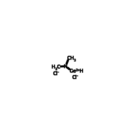 C[N](C)[GeH+2].[Cl-].[Cl-]